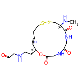 CN[C@@H]1CSSCC/C=C/[C@H](CCNCC=O)OC(=O)CNC(=O)CNC1=O